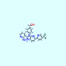 Nc1ncccc1-c1nc2ccc(-c3ccc(C(F)F)cn3)nc2n1-c1ccc(CO)cc1